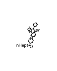 CCCCCCCC(=O)N1CCN(c2ccc3c(c2)N2CCN=C2C(c2ccccc2)=[N+]3[O-])CC1